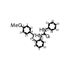 COc1ccc(CSc2ccccc2NC(=O)Nc2ccccc2)cc1